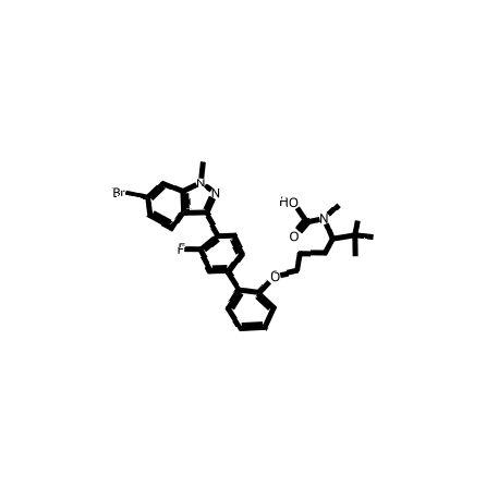 CN(C(=O)O)C(CCCOc1ccccc1-c1ccc(-c2nn(C)c3cc(Br)ccc23)c(F)c1)C(C)(C)C